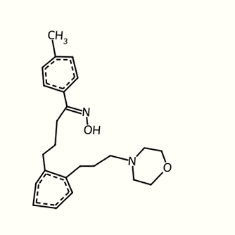 Cc1ccc(C(CCCc2ccccc2CCCN2CCOCC2)=NO)cc1